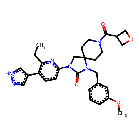 CCc1nc(N2CC3(CCN(C(=O)C4COC4)CC3)N(Cc3cccc(OC)c3)C2=O)ccc1-c1cn[nH]c1